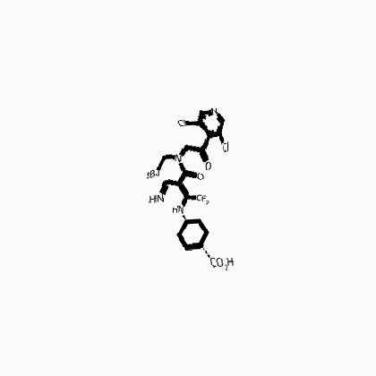 CC(C)(C)CN(CC(=O)c1c(Cl)cncc1Cl)C(=O)/C(C=N)=C(/N[C@H]1CC[C@@H](C(=O)O)CC1)C(F)(F)F